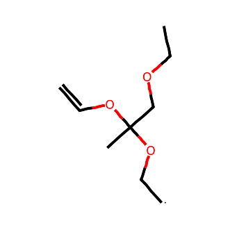 [CH2]COC(C)(COCC)OC=C